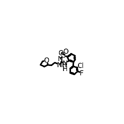 O=S1(=O)N=C(NCCC2CCCO2)Nc2c(-c3cccc(F)c3Cl)cccc21